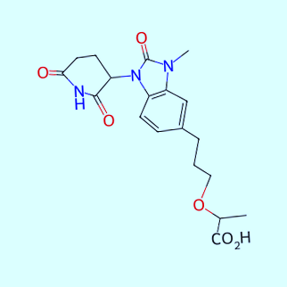 CC(OCCCc1ccc2c(c1)n(C)c(=O)n2C1CCC(=O)NC1=O)C(=O)O